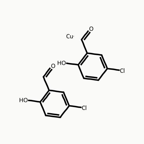 O=Cc1cc(Cl)ccc1O.O=Cc1cc(Cl)ccc1O.[Cu]